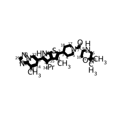 Cc1c(C2CCN(C(=O)[C@H]3COC(C)(C)CN3)CC2)sc2[nH]c(-c3cc(C)c4ncnn4c3)c(C(C)C)c12